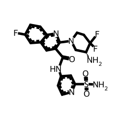 N[C@@H]1CN(c2nc3ccc(F)cc3cc2C(=O)Nc2ccnc(S(N)(=O)=O)c2)CCC1(F)F